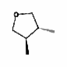 C[C@H]1COC[C@@H]1C